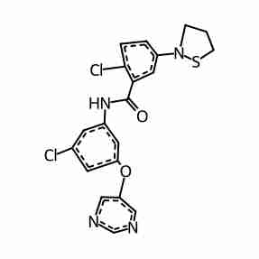 O=C(Nc1cc(Cl)cc(Oc2cncnc2)c1)c1cc(N2CCCS2)ccc1Cl